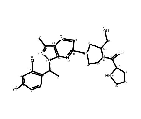 Cc1nn(C(C)c2ccc(Cl)cc2Cl)c2nc(N3CCN(C(=O)C4CCCN4)C(CO)C3)cnc12